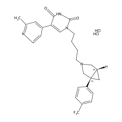 Cc1cc(-c2cn(CCCCN3C[C@@H]4C[C@]4(c4ccc(C(F)(F)F)cc4)C3)c(=O)[nH]c2=O)ccn1.Cl.Cl